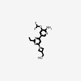 CCc1nc(-c2cnc(N)c(OC(F)F)c2)cc(N2CC(CO)C2)n1